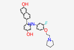 Oc1ccc(-c2ccc3cc(O)ccc3c2)c(Nc2ccc(OCCN3CCCCC3)c(F)c2)c1